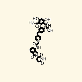 CC(C)c1cc(-c2nnc(O)n2-c2ccc(CC3CCN(CC(=O)Nc4cccc5c4CN(C4CCC(=O)NC4=O)C5=O)CC3)cc2)c(O)cc1O